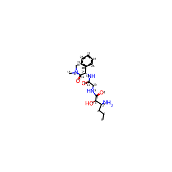 CCC[C@H](N)C(O)C(=O)NCC(=O)N[C@H](C(=O)N(C)C)c1ccccc1